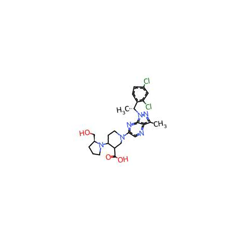 Cc1nn([C@H](C)c2ccc(Cl)cc2Cl)c2nc(N3CCC(N4CCC[C@H]4CO)C(C(=O)O)C3)cnc12